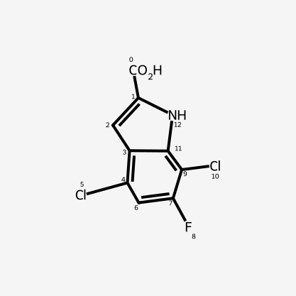 O=C(O)c1cc2c(Cl)cc(F)c(Cl)c2[nH]1